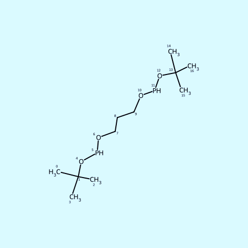 CC(C)(C)OPOCCCOPOC(C)(C)C